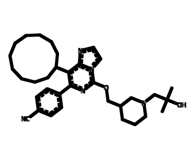 CC(C)(O)CN1CCCC(COc2nc(-c3ccc(C#N)cc3)c(C3CCCCCCCCCC3)c3nccn23)C1